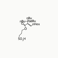 CCCCCCC=C(C(=O)OCCCS(=O)(=O)O)[PH](CCCC)(CCCC)CCCC